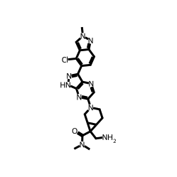 CN(C)C(=O)C1(CN)C2CCN(c3cnc4c(-c5ccc6nn(C)cc6c5Cl)n[nH]c4n3)CC21